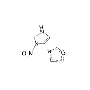 O=[N+]([O-])N1C=CNC1.c1cocn1